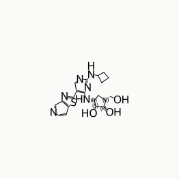 OC[C@H]1C[C@@H](Nc2nc(NC3CCC3)ncc2-c2nc3cnccc3s2)[C@H](O)[C@@H]1O